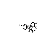 CCC1(S(=O)(=O)c2ccc(C(F)(F)F)cc2)CCOc2c(F)ccc(F)c21